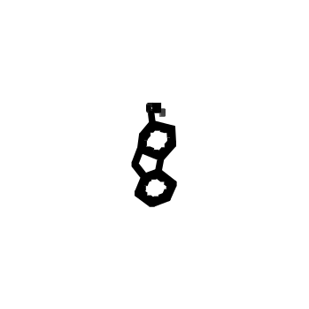 Cc1ccc2c(c1)Cc1ccccc1-2